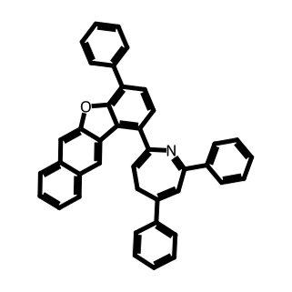 C1=C(c2ccccc2)CC=C(c2ccc(-c3ccccc3)c3oc4cc5ccccc5cc4c23)N=C1c1ccccc1